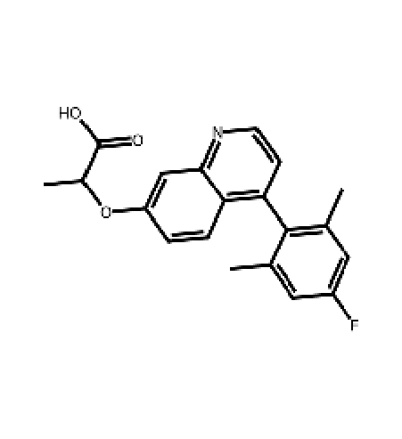 Cc1cc(F)cc(C)c1-c1ccnc2cc(OC(C)C(=O)O)ccc12